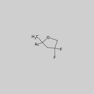 CC(=O)C1(C)CC(F)(F)CO1